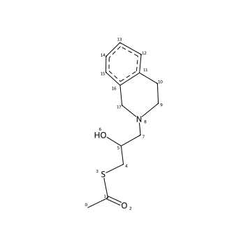 CC(=O)SCC(O)CN1CCc2ccccc2C1